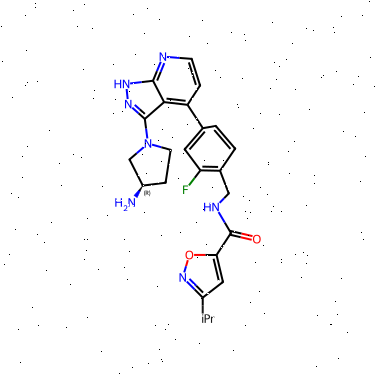 CC(C)c1cc(C(=O)NCc2ccc(-c3ccnc4[nH]nc(N5CC[C@@H](N)C5)c34)cc2F)on1